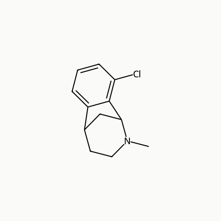 CN1CCC2CC1c1c(Cl)cccc12